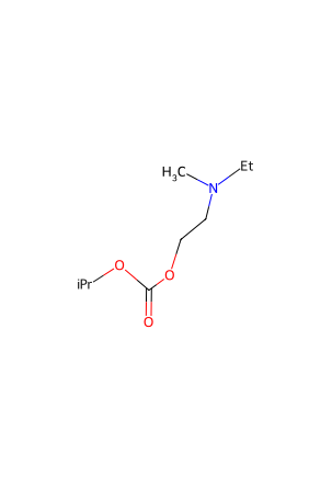 CCN(C)CCOC(=O)OC(C)C